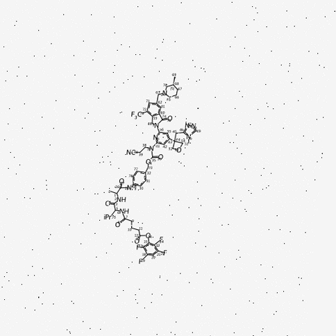 CC(NC(=O)C(NC(=O)CCCC(=O)Oc1c(F)c(F)cc(F)c1F)C(C)C)C(=O)Nc1ccc(COC(=O)N(CCC#N)c2cc(C3(Cc4nncn4C)COC3)cc(N3Cc4c(cc(CN5CCC[C@H](C)C5)cc4C(F)(F)F)C3=O)n2)cc1